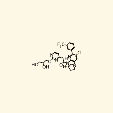 O=C(Nc1ccnc(OC[C@@H](O)CO)n1)N1c2nc(-c3cccc(C(F)(F)F)c3)c(Cl)cc2N2CC[C@H]1C2